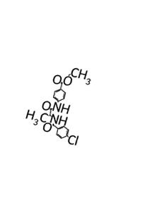 CCOC(=O)c1ccc(NC(=O)[C@@H](C)NC(=O)c2ccc(Cl)cc2)cc1